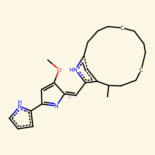 COC1=CC(c2ccc[nH]2)=N/C1=C/c1[nH]c2cc1C(C)CCCCCCCCCC2